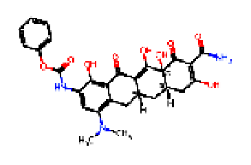 CN(C)c1cc(NC(=O)Oc2ccccc2)c(O)c2c1C[C@H]1C[C@H]3CC(O)=C(C(N)=O)C(=O)[C@@]3(O)C(O)=C1C2=O